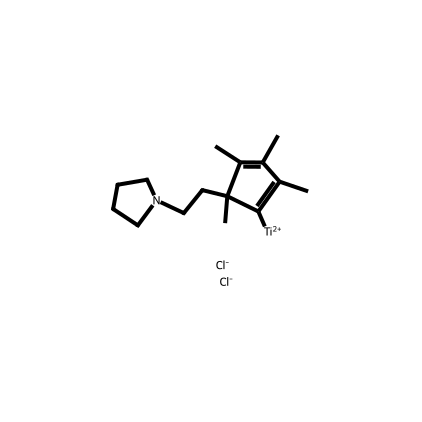 CC1=C(C)C(C)(CCN2CCCC2)[C]([Ti+2])=C1C.[Cl-].[Cl-]